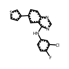 Fc1ccc(Nc2ncnc3ccc(-c4ccsc4)cc23)cc1Cl